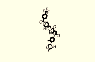 Cc1cc(-n2c(Cl)cc3c(=O)n(CC4(O)CCN(C(=O)c5ccc(C(F)(F)F)cc5)CC4)cnc32)ccc1[C@H]1CO[C@H](C)CN1